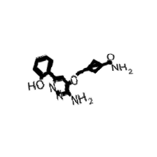 NC(=O)C12CC(COc3cc(-c4ccccc4O)nnc3N)(C1)C2